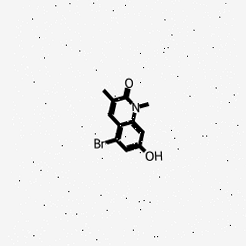 Cc1cc2c(Br)cc(O)cc2n(C)c1=O